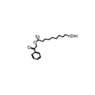 CCCCCCCCCCCCCCCCCCC(CC)OCC(=O)c1ccccc1